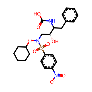 O=C(O)NC(Cc1ccccc1)[C@H](O)CN(OC1CCCCC1)S(=O)(=O)c1ccc([N+](=O)[O-])cc1